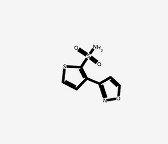 NS(=O)(=O)c1sccc1-c1ccon1